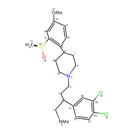 CNCC(CCN1CCC(c2ccc(OC)cc2[S@+](C)[O-])CC1)c1ccc(Cl)c(Cl)c1